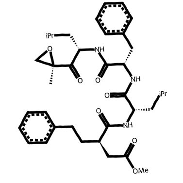 COC(=O)C[C@@H](CCc1ccccc1)C(=O)N[C@@H](CC(C)C)C(=O)N[C@@H](Cc1ccccc1)C(=O)N[C@@H](CC(C)C)C(=O)[C@@]1(C)CO1